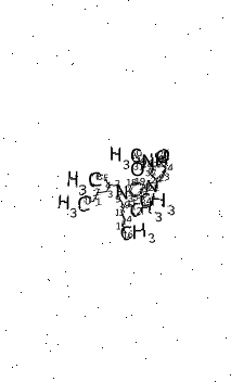 CCCCC(CC)CN(CC(CC)CCCC)c1ccc(N=C2C=CC(=O)C(NC(C)=O)=C2)c(C)c1